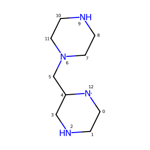 C1CNCC(CN2CCNCC2)[N]1